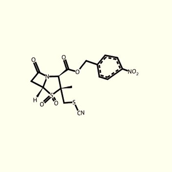 C[C@]1(CSC#N)[C@H](C(=O)OCc2ccc([N+](=O)[O-])cc2)N2C(=O)C[C@H]2S1(=O)=O